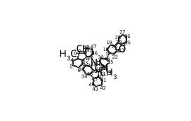 CC1(C)c2ccccc2-c2c(N(c3cccc(-c4ccc5c(c4)oc4ccccc45)c3)c3cccc4c3C(C)(C)c3ccccc3-4)cccc21